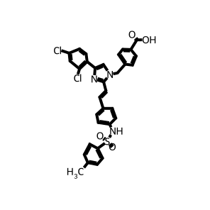 Cc1ccc(S(=O)(=O)Nc2ccc(C=Cc3nc(-c4ccc(Cl)cc4Cl)cn3Cc3ccc(C(=O)O)cc3)cc2)cc1